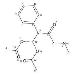 CNCC(=O)N(c1ccccc1)C(OC(C)=O)OC(C)=O